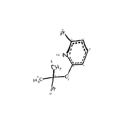 CC(C)c1cccc(OC(C)(C)C(C)C)n1